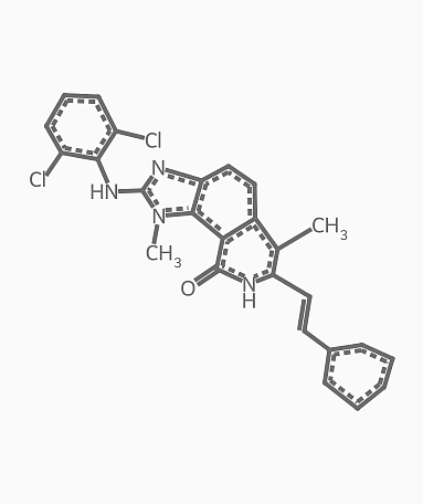 Cc1c(C=Cc2ccccc2)[nH]c(=O)c2c1ccc1nc(Nc3c(Cl)cccc3Cl)n(C)c12